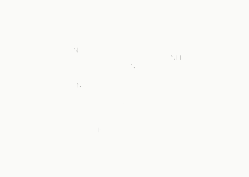 Fc1ccccc1-c1cnc2[nH]ccc2c1N1CCNCC1